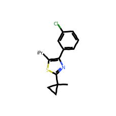 CC(C)c1sc(C2(C)CC2)nc1-c1cccc(Cl)c1